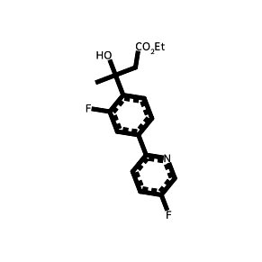 CCOC(=O)CC(C)(O)c1ccc(-c2ccc(F)cn2)cc1F